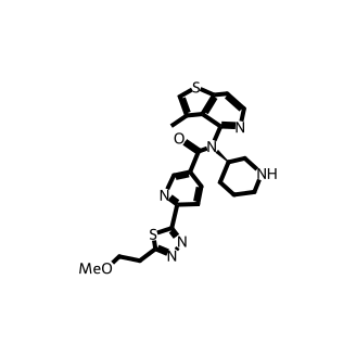 COCCc1nnc(-c2ccc(C(=O)N(c3nccc4scc(C)c34)[C@@H]3CCCNC3)cn2)s1